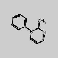 CC1N=CC=CN1c1ccccc1